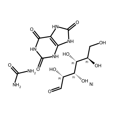 NC(N)=O.O=C[C@H](O)[C@@H](O)[C@H](O)[C@H](O)CO.O=c1[nH]c(=O)c2[nH]c(=O)[nH]c2[nH]1.[N]